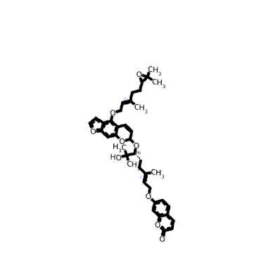 C/C(=C\COc1c2c(cc3occc13)OC(O[C@H](CC/C(C)=C/COc1ccc3ccc(=O)oc3c1)C(C)(C)O)C=C2)CCC1OC1(C)C